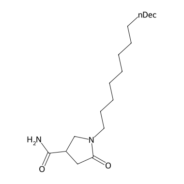 CCCCCCCCCCCCCCCCCCN1CC(C(N)=O)CC1=O